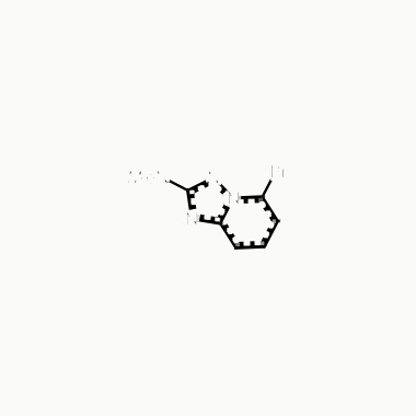 CNc1nc2cccc(Br)n2n1